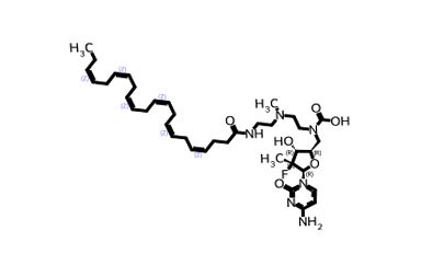 CC/C=C\C/C=C\C/C=C\C/C=C\C/C=C\C/C=C\CCC(=O)NCCN(C)CCN(C[C@H]1O[C@@H](n2ccc(N)nc2=O)[C@](C)(F)[C@@H]1O)C(=O)O